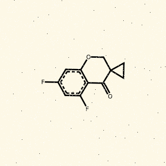 O=C1c2c(F)cc(F)cc2OCC12CC2